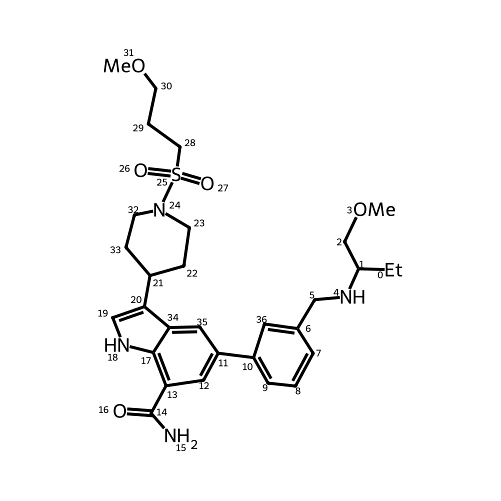 CCC(COC)NCc1cccc(-c2cc(C(N)=O)c3[nH]cc(C4CCN(S(=O)(=O)CCCOC)CC4)c3c2)c1